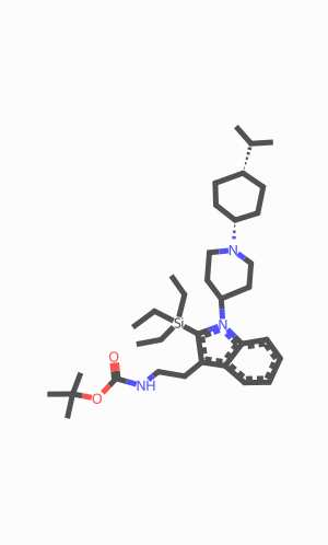 CC[Si](CC)(CC)c1c(CCNC(=O)OC(C)(C)C)c2ccccc2n1C1CCN([C@H]2CC[C@@H](C(C)C)CC2)CC1